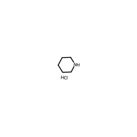 C1CCNCC1.Cl